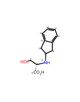 O=C(O)[C@H](CO)NC1Cc2ccccc2C1